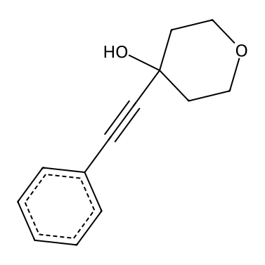 OC1(C#Cc2ccccc2)CCOCC1